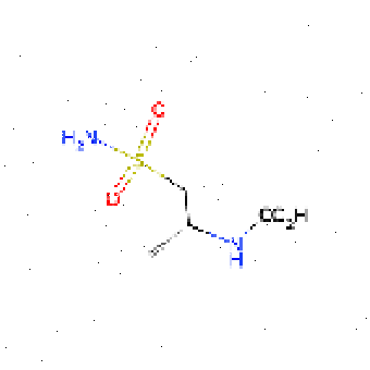 C[C@H](CS(N)(=O)=O)NC(=O)O